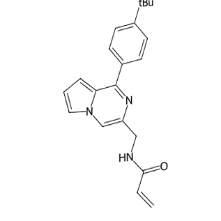 C=CC(=O)NCc1cn2cccc2c(-c2ccc(C(C)(C)C)cc2)n1